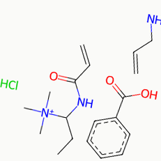 C=CC(=O)NC(CC)[N+](C)(C)C.C=CCN.Cl.O=C(O)c1ccccc1